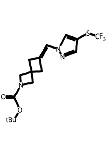 CC(C)(C)OC(=O)N1CC2(CC(=Cn3cc(SC(F)(F)F)cn3)C2)C1